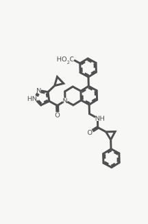 O=C(O)c1cccc(-c2ccc(CNC(=O)C3CC3c3ccccc3)c3c2CCN(C(=O)c2c[nH]nc2C2CC2)C3)c1